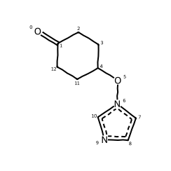 O=C1CCC(On2ccnc2)CC1